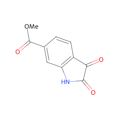 COC(=O)c1ccc2c(c1)NC(=O)C2=O